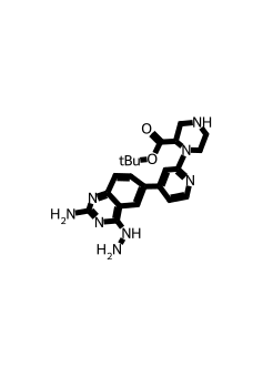 CC(C)(C)OC(=O)C1CNCCN1c1cc(-c2ccc3nc(N)nc(NN)c3c2)ccn1